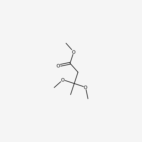 COC(=O)CC(C)(OC)OC